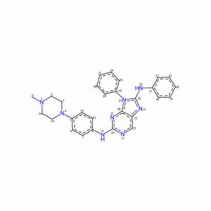 CN1CCN(c2ccc(Nc3ncc4nc(Nc5ccccc5)n(-c5ccccc5)c4n3)cc2)CC1